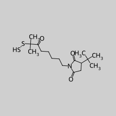 CC(C)(SS)C(=O)CCCCCN1C(=O)CC(C(C)(C)C)C1=O